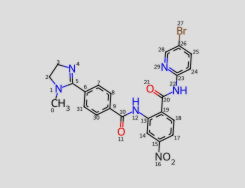 CN1CCN=C1c1ccc(C(=O)Nc2cc([N+](=O)[O-])ccc2C(=O)Nc2ccc(Br)cn2)cc1